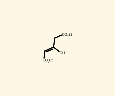 CCOC(=O)C=C(O)CC(=O)OCC